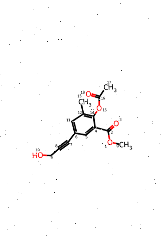 COC(=O)c1cc(C#CCO)cc(C)c1OC(C)=O